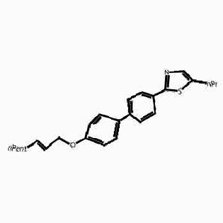 CCCCCC=CCOc1ccc(-c2ccc(-c3ncc(CCC)s3)cc2)cc1